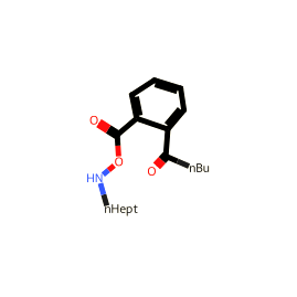 CCCCCCCNOC(=O)c1ccccc1C(=O)CCCC